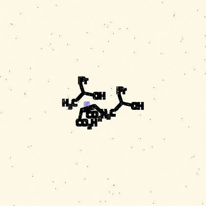 CC(C)C(C)O.CC(C)C(C)O.O=C(O)/C=C\C(=O)O